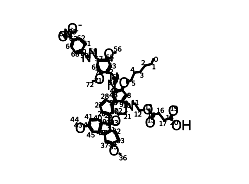 CCCCCCOc1cc(N(CCOC(=O)CCC(=O)O)CCOC(c2ccccc2)(c2ccc(OC)cc2)c2ccc(OC)cc2)ccc1N=Nc1cc(OC)c(N=Nc2ccc([N+](=O)[O-])cc2)cc1OC